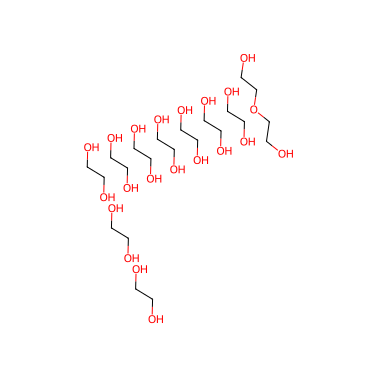 OCCO.OCCO.OCCO.OCCO.OCCO.OCCO.OCCO.OCCO.OCCO.OCCOCCO